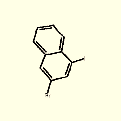 Brc1cc(I)c2ccccc2c1